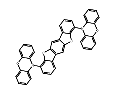 c1ccc2c(c1)Oc1ccccc1N2c1cccc2c1oc1cc3c(cc12)oc1c(N2c4ccccc4Oc4ccccc42)cccc13